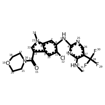 CNc1nc(Nc2cc3c(cc2Cl)c(C(=O)N2CCOCC2)cn3C)ncc1C(F)(F)F